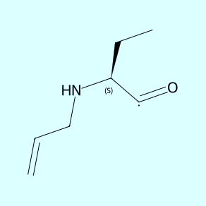 C=CCN[C@H]([C]=O)CC